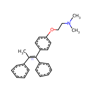 C/C(=C(/c1ccccc1)c1ccc(OCCN(C)C)cc1)c1ccccc1